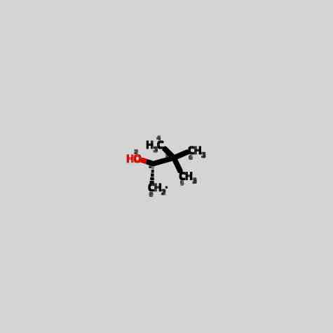 [CH2][C@H](O)C(C)(C)C